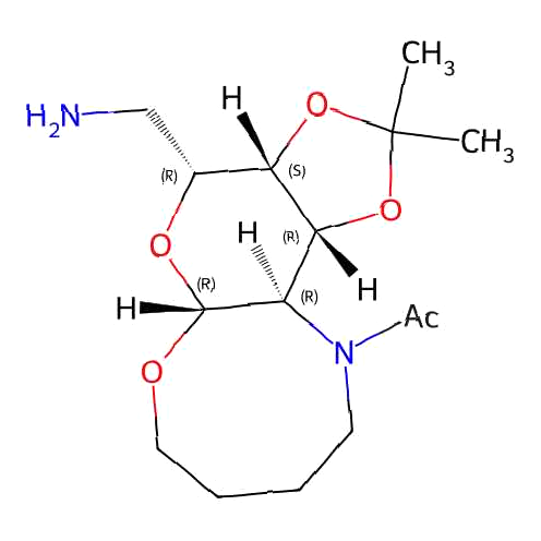 CC(=O)N1CCCCO[C@@H]2O[C@H](CN)[C@@H]3OC(C)(C)O[C@@H]3[C@H]21